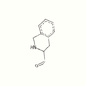 O=CC1Cc2ccccc2CN1